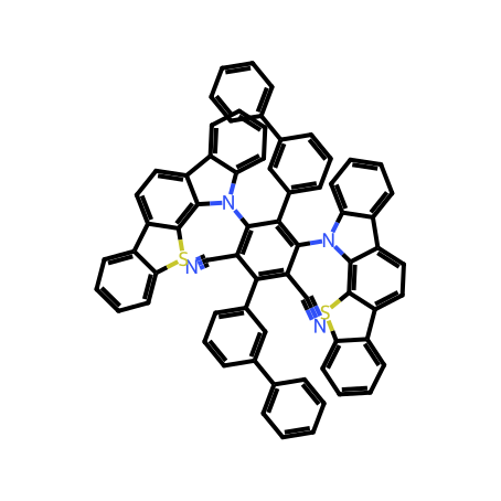 N#Cc1c(-c2cccc(-c3ccccc3)c2)c(C#N)c(-n2c3ccccc3c3ccc4c5ccccc5sc4c32)c(-c2cccc(-c3ccccc3)c2)c1-n1c2ccccc2c2ccc3c4ccccc4sc3c21